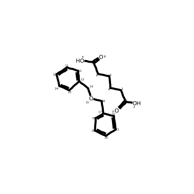 O=C(O)CCCCC(=O)O.c1ccc(COCc2ccccc2)cc1